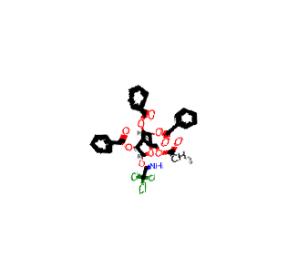 CC(=O)OCC12O[C@H](OC(=N)C(Cl)(Cl)Cl)[C@H](OC(=O)c3ccccc3)C1[C@@H](OC(=O)c1ccccc1)[C@@H]2OC(=O)c1ccccc1